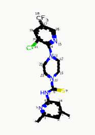 Cc1cc(C)nc(NC(=S)N2CCN(c3ncc(C(F)(F)F)cc3Cl)CC2)c1